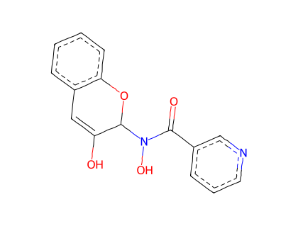 O=C(c1cccnc1)N(O)C1Oc2ccccc2C=C1O